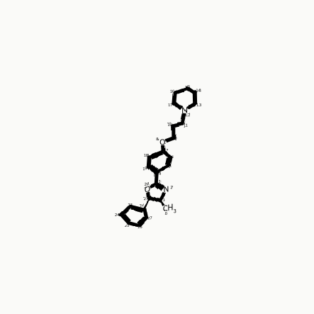 C[C@@H]1N=C(c2ccc(OCCCN3CCCCC3)cc2)O[C@@H]1c1ccccc1